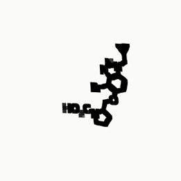 O=C(O)N1CCC[C@@H]1COc1ccc2c(nnn2CC2CC2)c1Br